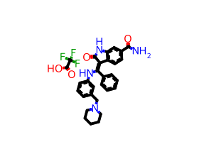 NC(=O)c1ccc2c(c1)NC(=O)/C2=C(\Nc1cccc(CN2CCCCC2)c1)c1ccccc1.O=C(O)C(F)(F)F